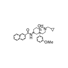 COc1cccc([C@@]23CCN(CC4CC4)C[C@@]2(O)CC[C@@H](NC(=O)c2ccc4ccccc4c2)C3)c1